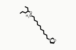 CCCC(CC)O[SiH2]CCCCCCCCCCN1C=COC1